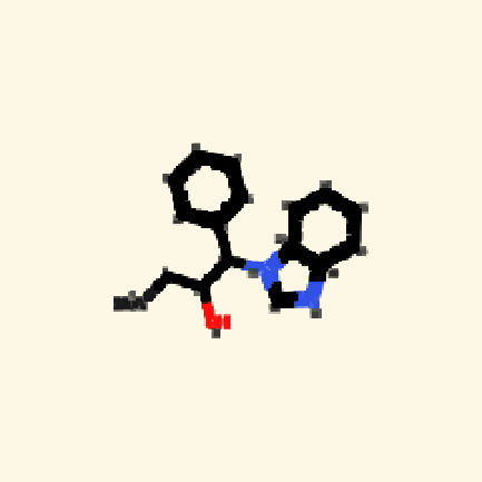 CNCC(O)C(c1ccccc1)n1cnc2ccccc21